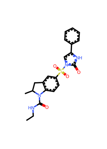 CCNC(=O)N1c2ccc(S(=O)(=O)n3cc(-c4ccccc4)[nH]c3=O)cc2CC1C